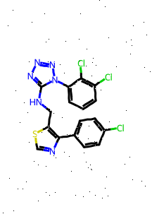 Clc1ccc(-c2ncsc2CNc2nnnn2-c2cccc(Cl)c2Cl)cc1